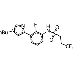 CCCCn1[c]c(-c2cccc(NS(=O)(=O)CCC(F)(F)F)c2F)nc1